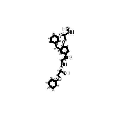 Cl.O=C(COc1ccc(CCNCC(O)COc2ccccc2)cc1Cc1ccccc1)NO